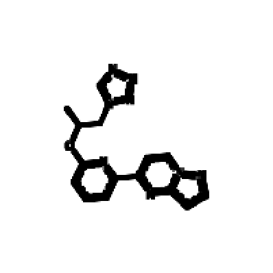 CC(Cn1cnnn1)Oc1cccc(-c2ccn3nccc3n2)n1